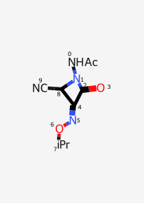 CC(=O)NN1C(=O)C(=NOC(C)C)C1C#N